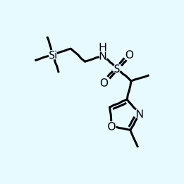 Cc1nc(C(C)S(=O)(=O)NCC[Si](C)(C)C)co1